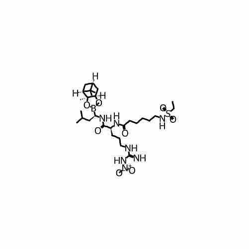 CCS(=O)(=O)NCCCCCC(=O)N[C@@H](CCCNC(=N)N[N+](=O)[O-])C(=O)N[C@@H](CC(C)C)B1O[C@@H]2C[C@@H]3C[C@@H](C3(C)C)[C@]2(C)O1